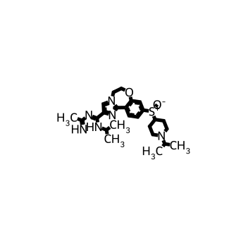 CC(=N)/N=C(\NC(C)C)c1cn2c(n1)-c1ccc([S+]([O-])C3CCN(C(C)C)CC3)cc1OCC2